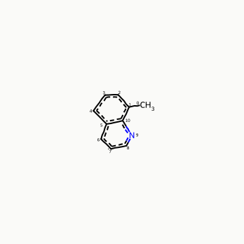 Cc1cccc2c[c]cnc12